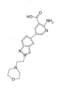 Nc1ncc(-c2ccc3nn(CCN4CCOCC4)cc3c2)cc1C(=O)O